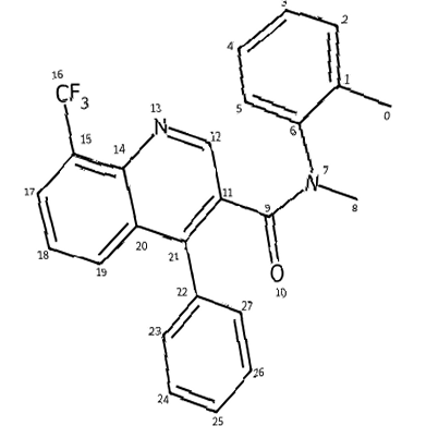 Cc1ccccc1N(C)C(=O)c1cnc2c(C(F)(F)F)cccc2c1-c1ccccc1